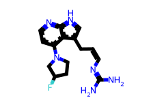 NC(N)=N/C=C\Cc1c[nH]c2nccc(N3CCC(F)C3)c12